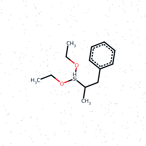 CCO[SiH](OCC)C(C)Cc1ccccc1